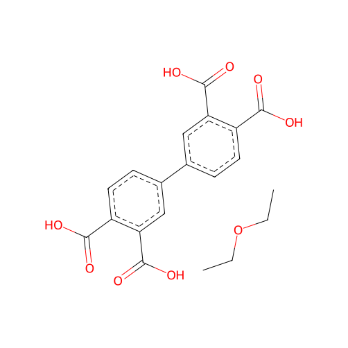 CCOCC.O=C(O)c1ccc(-c2ccc(C(=O)O)c(C(=O)O)c2)cc1C(=O)O